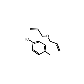 C=CCOCC=C.Cc1ccc(O)cc1